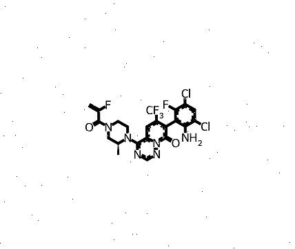 C=C(F)C(=O)N1CCN(c2ncnn3c(=O)c(-c4c(N)c(Cl)cc(Cl)c4F)c(C(F)(F)F)cc23)[C@@H](C)C1